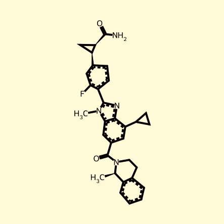 C[C@@H]1c2ccccc2CCN1C(=O)c1cc(C2CC2)c2nc(-c3ccc([C@H]4C[C@H]4C(N)=O)cc3F)n(C)c2c1